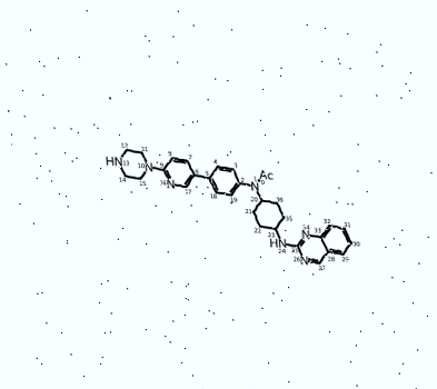 CC(=O)N(c1ccc(-c2ccc(N3CCNCC3)nc2)cc1)C1CCC(Nc2ncc3ccccc3n2)CC1